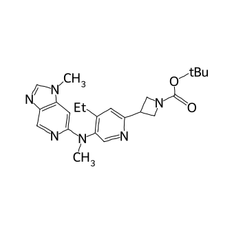 CCc1cc(C2CN(C(=O)OC(C)(C)C)C2)ncc1N(C)c1cc2c(cn1)ncn2C